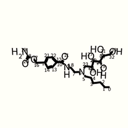 CCCCCCN(CCNC(=O)c1ccc(COC(N)=O)cc1)C[C@H](O)[C@@H](O)[C@H](O)[C@H](O)CO